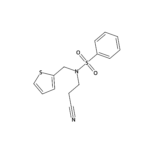 N#CCCN(Cc1cccs1)S(=O)(=O)c1ccccc1